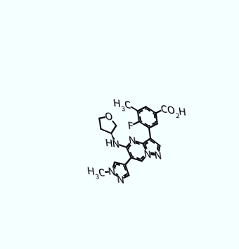 Cc1cc(C(=O)O)cc(-c2cnn3cc(-c4cnn(C)c4)c(N[C@H]4CCOC4)nc23)c1F